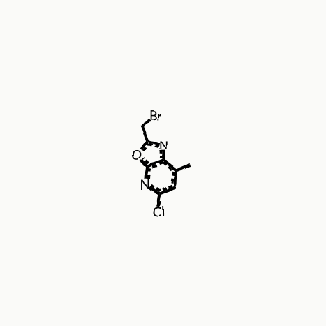 Cc1cc(Cl)nc2oc(CBr)nc12